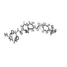 COC(CSc1ccc2ccc(/C=C/c3ccc(C(F)(F)F)cc3)cc2n1)OC